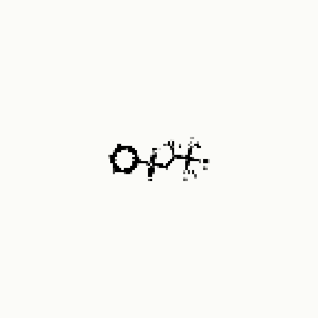 C[C@H](CS(=O)(=O)c1ccccc1)C(C)(C)O